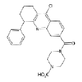 O=C(O)N1CCN(C(=O)c2ccc3c(Cl)c4c(nc3c2)C(c2ccccc2)CCC4)CC1